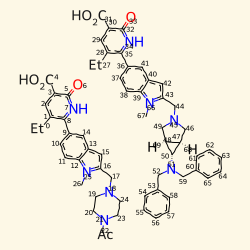 CCc1cc(C(=O)O)c(=O)[nH]c1-c1ccc2c(c1)cc(CN1CCN(C(C)=O)CC1)n2C.CCc1cc(C(=O)O)c(=O)[nH]c1-c1ccc2c(c1)cc(CN1C[C@@H]3[C@H](C1)[C@H]3N(Cc1ccccc1)Cc1ccccc1)n2C